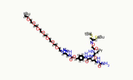 CC(C)C[C@H](NC(=O)CON=C(CSC(C)(C)C)CSC(C)(C)C)C(=O)N[C@@H](CCCNC(N)=O)C(=O)Nc1ccc(COC(=O)NCc2cn(CCOCCOCCOCCOCCOCCOCCOCCC(C)(C)C)nn2)cc1